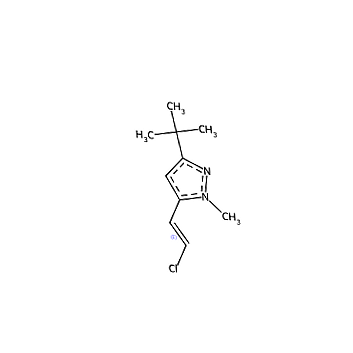 Cn1nc(C(C)(C)C)cc1/C=C/Cl